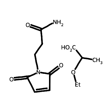 CCOC(C)C(=O)O.NC(=O)CCN1C(=O)C=CC1=O